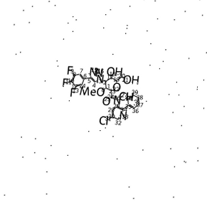 CO[C@@H]1[C@@H](n2cc(-c3cc(F)c(F)c(F)c3)nn2)[C@@H](O)[C@@H](CO)O[C@H]1C(=O)N(C)c1cc(Cl)cnc1-c1ccccc1